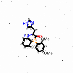 COc1ccc(P(C(=O)[C@@H](N)Cc2c[nH]cn2)c2ccccc2S(=O)(=O)O)c(OC)c1